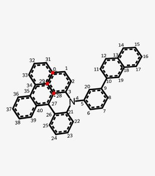 c1ccc(N(c2cccc(-c3ccc4ccccc4c3)c2)c2ccccc2-c2cc3ccccc3c3ccccc23)cc1